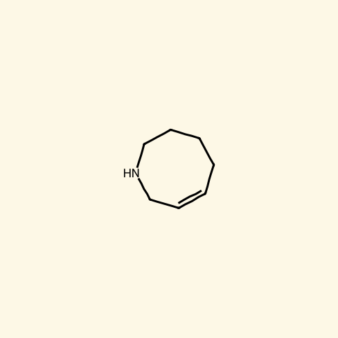 C1=CCNCCCC1